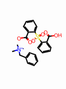 C[N+](C)(C)Cc1ccccc1.O=C([O-])c1ccccc1S(=O)(=O)c1ccccc1C(=O)O